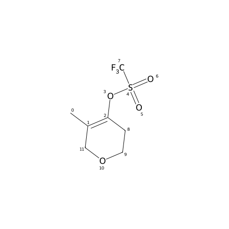 CC1=C(OS(=O)(=O)C(F)(F)F)CCOC1